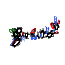 O=C1CCC(N2Cc3c(NC4CCN(CCNC(=O)[C@H]5CC[C@H](NC(=O)[C@@H]6NC7(CCCCC7)[C@@]7(C(=O)Nc8cc(Cl)ccc87)[C@H]6c6cccc(Cl)c6F)CC5)CC4)cccc3C2=O)C(=O)N1